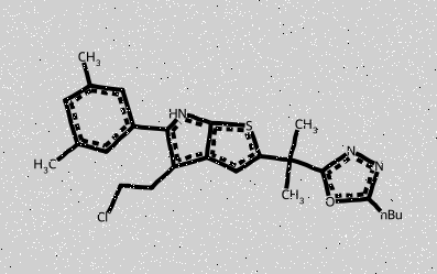 CCCCc1nnc(C(C)(C)c2cc3c(CCCl)c(-c4cc(C)cc(C)c4)[nH]c3s2)o1